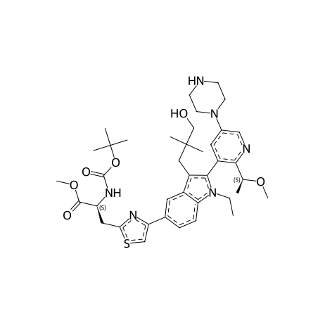 CCn1c(-c2cc(N3CCNCC3)cnc2[C@H](C)OC)c(CC(C)(C)CO)c2cc(-c3csc(C[C@H](NC(=O)OC(C)(C)C)C(=O)OC)n3)ccc21